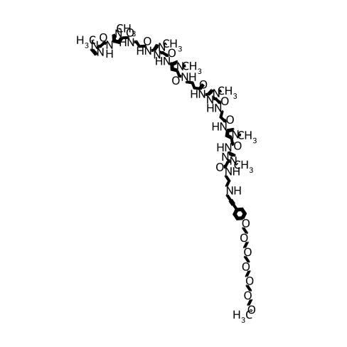 COCCOCCOCCOCCOCCOCCOc1ccc(C#CCNCCCNC(=O)c2nc(NC(=O)c3cc(NC(=O)CCNC(=O)c4nc(NC(=O)CCCNC(=O)c5cc(NC(=O)c6nc(NC(=O)CCNC(=O)c7cc(NC(=O)c8nccn8C)cn7C)cn6C)cn5C)cn4C)cn3C)cn2C)cc1